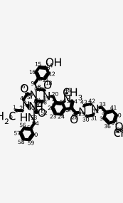 C=CCN1CC(=O)N2[C@@H](Cc3ccc(O)cc3)C(=O)N(Cc3cccc4c(C(=O)N5CCN(Cc6ccc(OC)cc6)CC5)cn(C)c34)C[C@@H]2N1C(=O)NCc1ccccc1